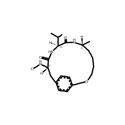 CC(C)[C@@H]1NC(=O)[C@@H](NCl)Cc2ccc(cc2)OCCCC[C@@H](C)NC1=O